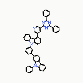 c1ccc(-c2nc(-c3ccccc3)nc(-c3cncc(-c4cccc5c4c4ccccc4n5-c4cccc(-c5ccc6c7ccccc7n(-c7ccccc7)c6c5)c4)c3)n2)cc1